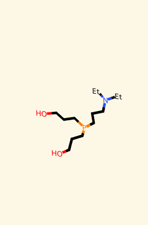 CCN(CC)CCCP(CCCO)CCCO